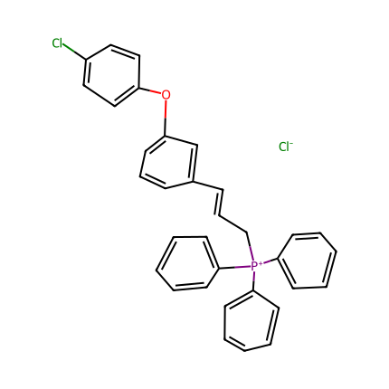 Clc1ccc(Oc2cccc(C=CC[P+](c3ccccc3)(c3ccccc3)c3ccccc3)c2)cc1.[Cl-]